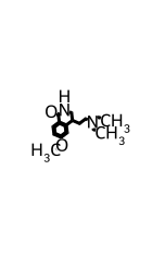 CCN(CC)CCC1CNC(=O)c2ccc(OC)cc21